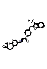 Cc1c(CC2=CCN(C(=O)/C=C/c3cnc4c(c3)CCC(=O)N4)CC2)oc2ccccc12